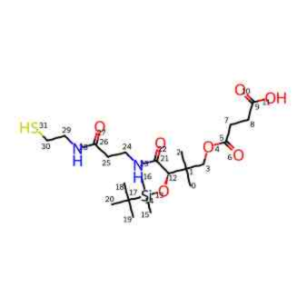 CC(C)(COC(=O)CCC(=O)O)[C@@H](O[Si](C)(C)C(C)(C)C)C(=O)NCCC(=O)NCCS